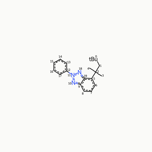 CC(C)(C)CC(C)(C)c1cccc2nn(-c3[c]cccc3)nc12